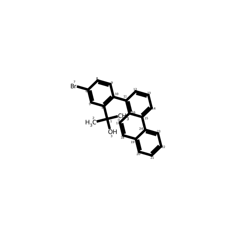 CC(C)(O)c1cc(Br)ccc1-c1cccc2c1ccc1ccccc12